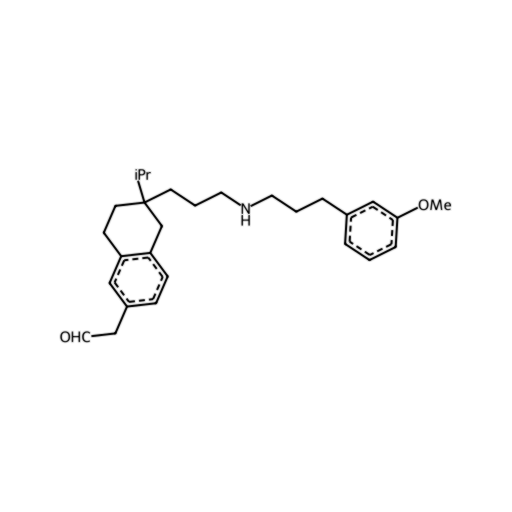 COc1cccc(CCCNCCCC2(C(C)C)CCc3cc(CC=O)ccc3C2)c1